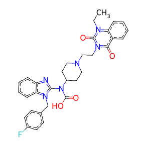 CCn1c(=O)n(CCN2CCC(N(C(=O)O)c3nc4ccccc4n3Cc3ccc(F)cc3)CC2)c(=O)c2ccccc21